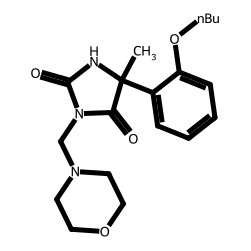 CCCCOc1ccccc1C1(C)NC(=O)N(CN2CCOCC2)C1=O